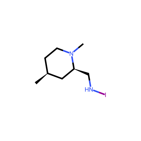 C[C@H]1CCN(C)[C@@H](CNI)C1